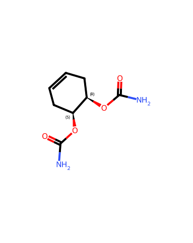 NC(=O)O[C@H]1CC=CC[C@H]1OC(N)=O